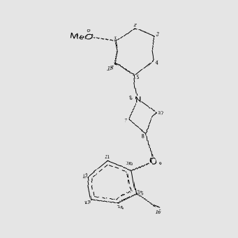 COC1CCCC(N2CC(Oc3ccccc3C)C2)C1